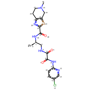 CC(C)[C@H](CNC(=O)C(=O)Nc1ccc(Cl)cn1)NC(=O)c1nc2c(s1)CN(C)CC2